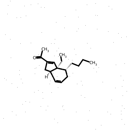 CCCC[C@@H]1CC=C[C@H]2CC(C(C)=O)=C[C@@]12CC